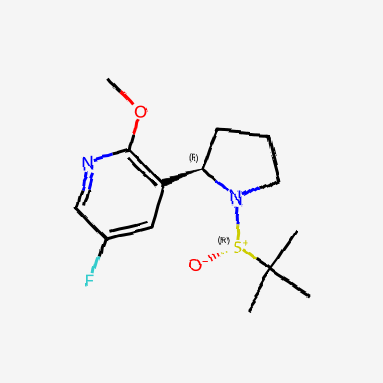 COc1ncc(F)cc1[C@H]1CCCN1[S@@+]([O-])C(C)(C)C